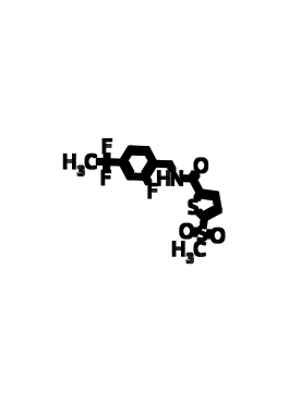 CC(F)(F)c1ccc(CNC(=O)c2ccc(S(C)(=O)=O)s2)c(F)c1